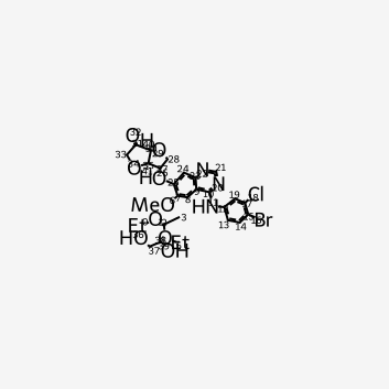 CCOC(C)OCC.COc1cc2c(Nc3ccc(Br)c(Cl)c3)ncnc2cc1O[C@H]1CO[C@@H]2C(=O)CO[C@H]12.OCCO